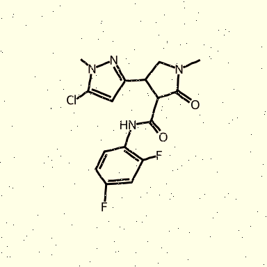 CN1CC(c2cc(Cl)n(C)n2)C(C(=O)Nc2ccc(F)cc2F)C1=O